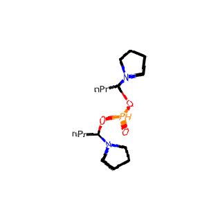 CCCC(O[PH](=O)OC(CCC)N1CCCC1)N1CCCC1